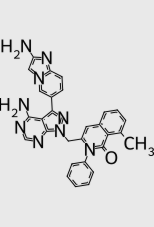 Cc1cccc2cc(Cn3nc(-c4ccc5nc(N)cn5c4)c4c(N)ncnc43)n(-c3ccccc3)c(=O)c12